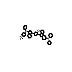 C[Si](C)(C)c1ccc(N(c2ccccc2)c2ccc(-c3ccc4c(c3)Oc3cccc5c3c-4cc3ccc(N(c4ccccc4)c4ccccc4)cc35)c3ccccc23)cc1